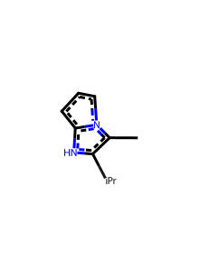 Cc1c(C(C)C)[nH]c2cccn12